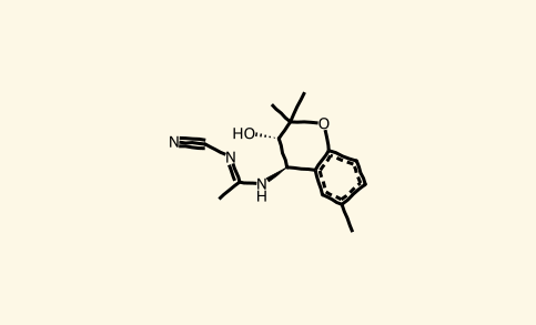 CC(=NC#N)N[C@@H]1c2cc(C)ccc2OC(C)(C)[C@H]1O